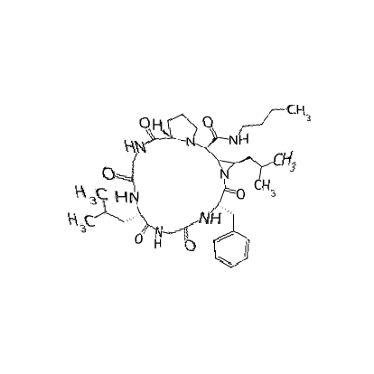 CCCCNC(=O)[C@H]1C2[C@@H](CC(C)C)N2C(=O)[C@H](Cc2ccccc2)NC(=O)CNC(=O)[C@H](CC(C)C)NC(=O)CNC(=O)[C@@H]2CCCN21